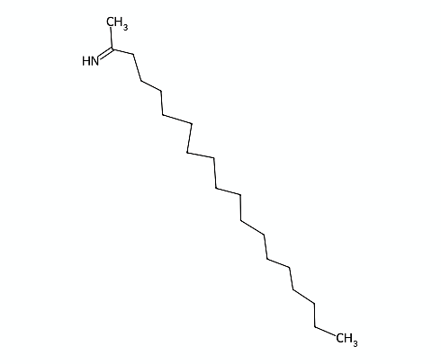 CCCCCCCCCCCCCCCCCC(C)=N